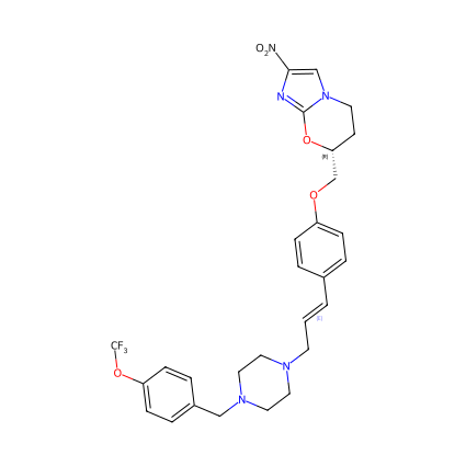 O=[N+]([O-])c1cn2c(n1)O[C@@H](COc1ccc(/C=C/CN3CCN(Cc4ccc(OC(F)(F)F)cc4)CC3)cc1)CC2